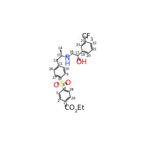 CCOC(=O)c1ccc(S(=O)(=O)c2ccc(C[C@@H](C)NC[C@H](O)c3cccc(C(F)(F)F)c3)cc2)cc1